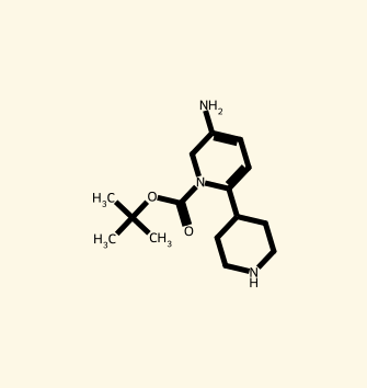 CC(C)(C)OC(=O)N1CC(N)=CC=C1C1CCNCC1